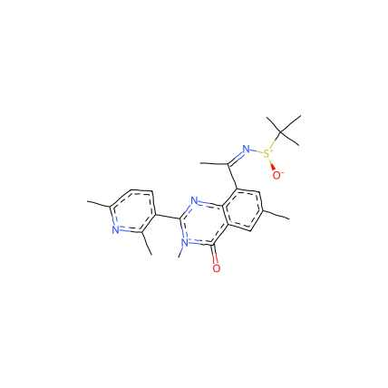 C/C(=N/[S@+]([O-])C(C)(C)C)c1cc(C)cc2c(=O)n(C)c(-c3ccc(C)nc3C)nc12